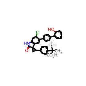 CC(C)(C(=O)O)c1ccc(C2CC23C(=O)Nc2cc(Cl)c(-c4ccc(-c5ccccc5O)cc4)cc23)cc1